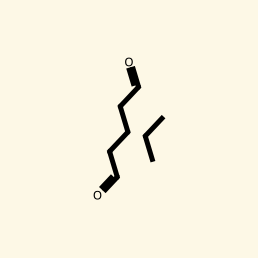 CCC.O=CCCCC=O